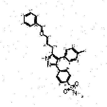 Cc1ccc(-c2c(-c3ccc(S(N)(=O)=O)cc3)n[nH]c2CCCOCc2ccccc2)cc1